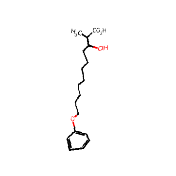 CC(C(=O)O)C(O)CCCCCCCCOc1ccccc1